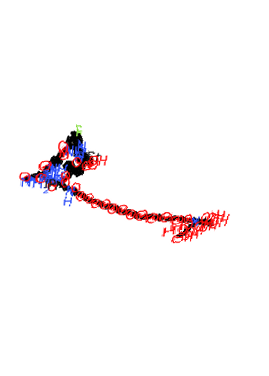 CC[C@@]1(O)C(=O)OCc2c1cc1n(c2=O)Cc2c-1nc1cc(F)c(C)c3c1c2[C@@H](NC(=O)OCc1ccc(NC(=O)[C@H](CCCNC(N)=O)NC(=O)[C@@H](NC(=O)[C@H](CCCCNC(=O)CCOCCOCCOCCOCCOCCOCCOCCOCCOCCOCCOCCOCCN(C[C@@H](O)[C@@H](O)[C@H](O)[C@H](O)CO)C[C@@H](O)[C@@H](O)[C@H](O)[C@H](O)CO)NC(=O)OCC2c4ccccc4-c4ccccc42)C(C)C)cc1)CC3